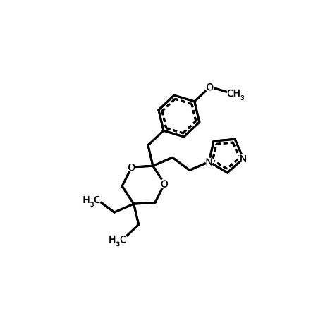 CCC1(CC)COC(CCn2ccnc2)(Cc2ccc(OC)cc2)OC1